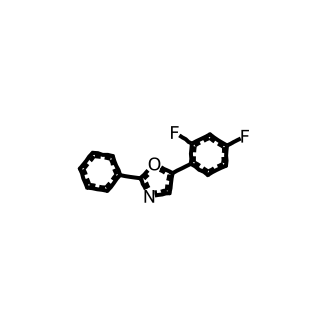 Fc1ccc(-c2cnc(-c3ccccc3)o2)c(F)c1